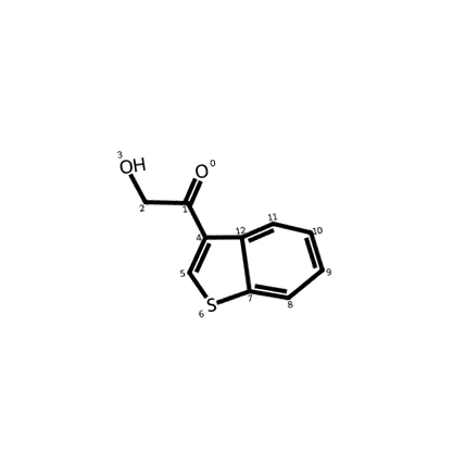 O=C(CO)c1csc2ccccc12